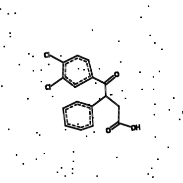 O=C(O)CC(C(=O)c1ccc(Cl)c(Cl)c1)c1ccccc1